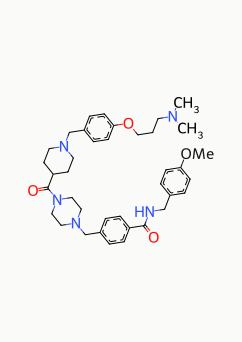 COc1ccc(CNC(=O)c2ccc(CN3CCN(C(=O)C4CCN(Cc5ccc(OCCCN(C)C)cc5)CC4)CC3)cc2)cc1